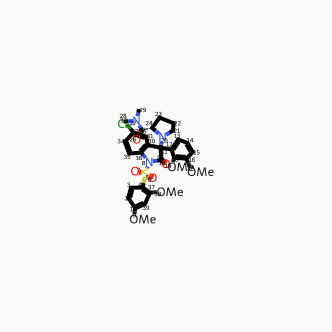 COc1ccc(S(=O)(=O)N2C(=O)C(c3cccc(OC)c3OC)(N3CCC[C@H]3C(=O)N(C)C)c3cc(Cl)ccc32)c(OC)c1